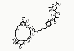 COc1cc2cc(c1Cl)N(C)C(=O)C[C@H](OC(=O)CCCCCc1ccc(NC(=O)C(C)NC(=O)C(CCC(C)=O)NC(C)=O)cc1)[C@]1(C)O[C@H]1[C@H](C)[C@@H]1C[C@@](O)(NC(=O)O1)[C@H](OC)/C=C/C=C(\C)C2